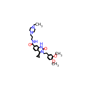 CCN1CCN(CCCNC(=O)c2ccc3c(c2)NC(=O)N(CCc2ccc(OC)c(OC)c2)C3=C2CC2)CC1